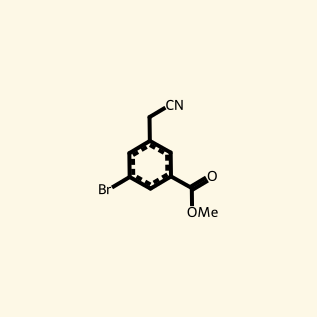 COC(=O)c1cc(Br)cc(CC#N)c1